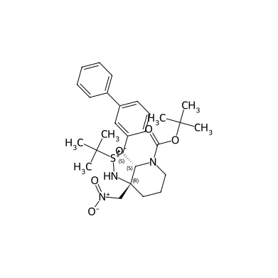 CC(C)(C)OC(=O)N1CCC[C@](C[N+](=O)[O-])(N[S@+]([O-])C(C)(C)C)[C@@H]1Cc1cccc(-c2ccccc2)c1